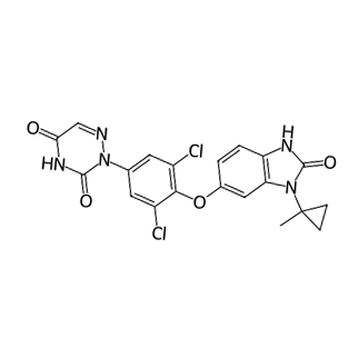 CC1(n2c(=O)[nH]c3ccc(Oc4c(Cl)cc(-n5ncc(=O)[nH]c5=O)cc4Cl)cc32)CC1